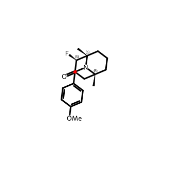 COc1ccc(CN2[C@]3(C)CCC[C@@]2(C)[C@H](F)C(=O)C3)cc1